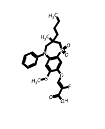 CCCCC1(C)CN(c2ccccc2)c2cc(SC)c(O/C=C(\F)C(=O)O)cc2S(=O)(=O)C1